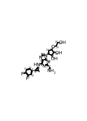 NSc1nc(N[C@@H]2C[C@H]2c2ccc(F)c(F)c2)c2nnn([C@@H]3C[C@H](OCCO)[C@@H](O)[C@H]3O)c2n1